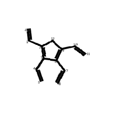 C=CC1=C(C=C)C(C=C)=C(C=C)C1